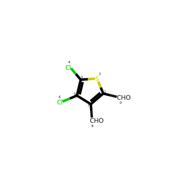 O=Cc1sc(Cl)c(Cl)c1C=O